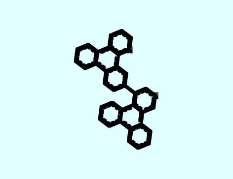 c1ccc2c(c1)c1ccc(-c3cncc4c5ccccc5c5ccccc5c34)cc1c1ncccc21